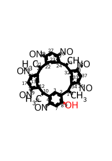 CC1c2cc(c(N=O)cc2O)C(C)c2cc(c(N=O)cc2N=O)C(C)c2cc(c(N=O)cc2N=O)C(C)c2cc1c(N=O)cc2N=O